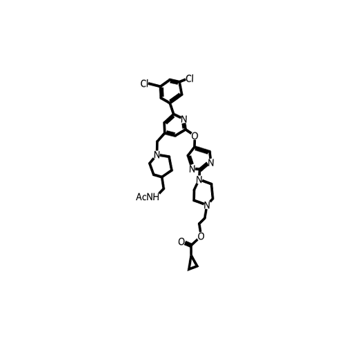 CC(=O)NCC1CCN(Cc2cc(Oc3cnc(N4CCN(CCOC(=O)C5CC5)CC4)nc3)nc(-c3cc(Cl)cc(Cl)c3)c2)CC1